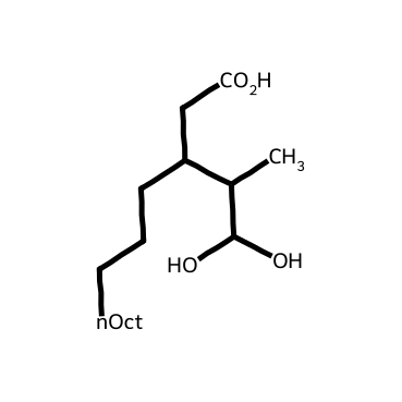 CCCCCCCCCCCC(CC(=O)O)C(C)C(O)O